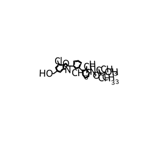 Cc1c(NOC(C)(C)C(C)(C)O)cccc1-c1cccc(-c2nc3cc(CO)cc(Cl)c3o2)c1C